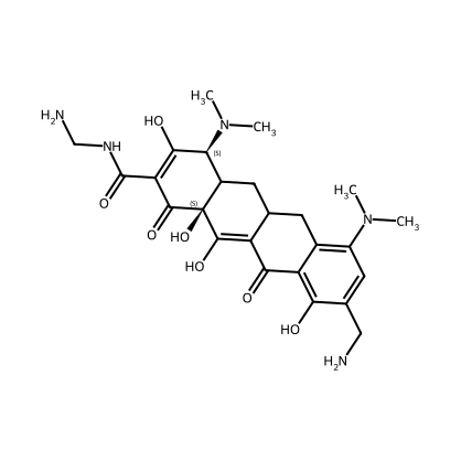 CN(C)c1cc(CN)c(O)c2c1CC1CC3[C@H](N(C)C)C(O)=C(C(=O)NCN)C(=O)[C@@]3(O)C(O)=C1C2=O